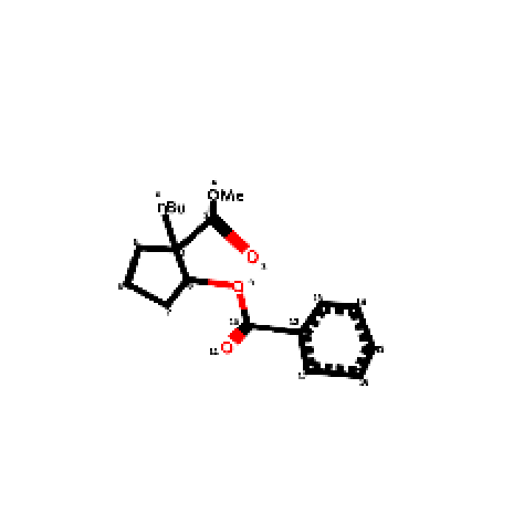 CCCCC1(C(=O)OC)CCCC1OC(=O)c1ccccc1